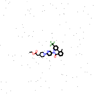 CCOC(=O)CC1CCN(c2ccc(NC(=O)c3cccc(C)c3-c3ccc(C(F)(F)F)cc3)cn2)CC1